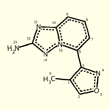 Cc1conc1-c1cccc2nc(N)nn12